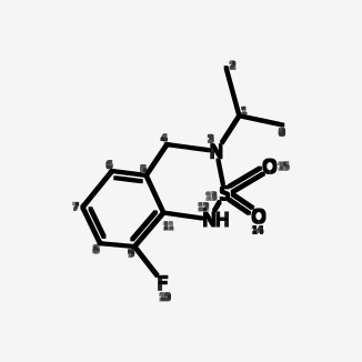 CC(C)N1Cc2cccc(F)c2NS1(=O)=O